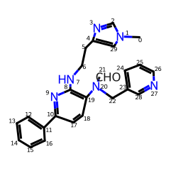 Cn1cnc(CCNc2nc(-c3ccccc3)ccc2N(C=O)Cc2cccnc2)c1